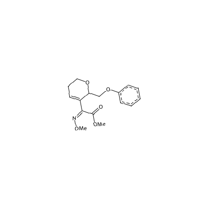 CO/N=C(\C(=O)OC)C1=CCCOC1COc1ccccc1